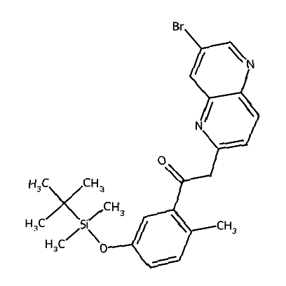 Cc1ccc(O[Si](C)(C)C(C)(C)C)cc1C(=O)Cc1ccc2ncc(Br)cc2n1